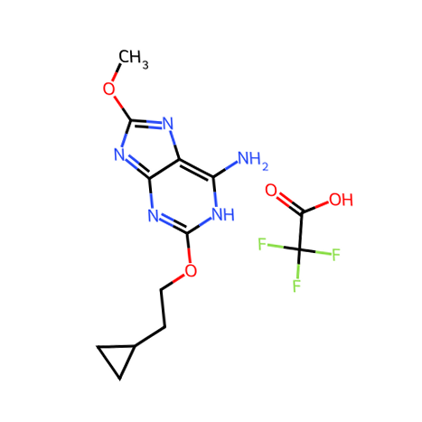 COc1nc2nc(OCCC3CC3)[nH]c(N)c-2n1.O=C(O)C(F)(F)F